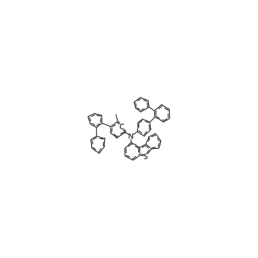 Cc1cc(N(c2ccc(-c3ccccc3-c3ccccc3)cc2)c2cccc3sc4ccccc4c23)ccc1-c1ccccc1-c1ccccc1